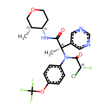 C[C@@H]1COCC[C@@H]1NC(=O)[C@@](C)(c1cncnc1)N(C(=O)[C@H](F)Cl)c1ccc(OC(F)(F)F)cc1